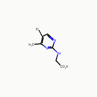 CCc1cnc(NCC(=O)O)nc1C